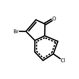 O=C1C=C(Br)c2ccc(Cl)cc21